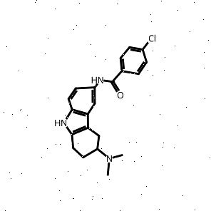 CN(C)C1CCc2[nH]c3ccc(NC(=O)c4ccc(Cl)cc4)cc3c2C1